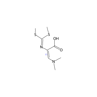 CSC(=N/C(=C/N(C)C)C(=O)O)SC